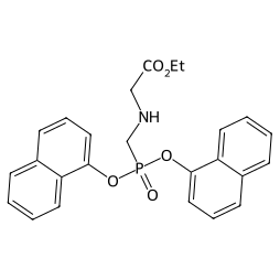 CCOC(=O)CNCP(=O)(Oc1cccc2ccccc12)Oc1cccc2ccccc12